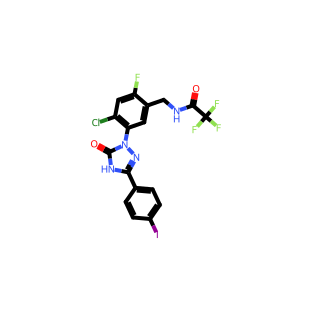 O=C(NCc1cc(-n2nc(-c3ccc(I)cc3)[nH]c2=O)c(Cl)cc1F)C(F)(F)F